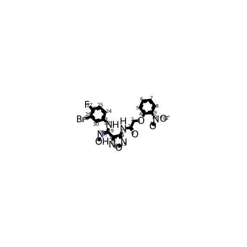 O=C(COc1ccccc1[N+](=O)[O-])Nc1nonc1/C(=N\O)Nc1ccc(F)c(Br)c1